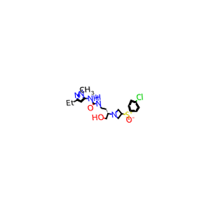 CCc1cc(NC(=O)NCC[C@@H](CO)N2CC([S+]([O-])c3ccc(Cl)cc3)C2)n(C)n1